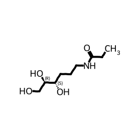 CCC(=O)NCCC[C@H](O)[C@H](O)CO